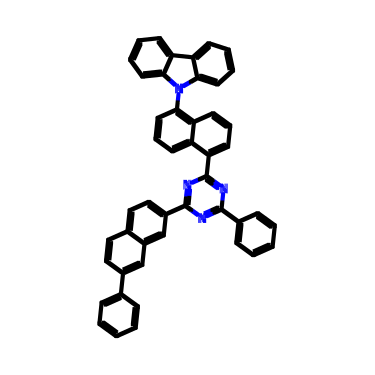 c1ccc(-c2ccc3ccc(-c4nc(-c5ccccc5)nc(-c5cccc6c(-n7c8ccccc8c8ccccc87)cccc56)n4)cc3c2)cc1